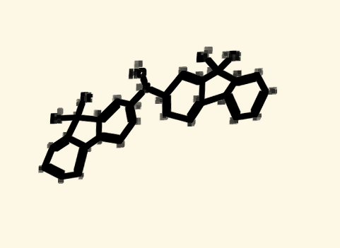 CCC1(CC)c2ccccc2-c2ccc(B(O)c3ccc4c(c3)C(CC)(CC)c3ccccc3-4)cc21